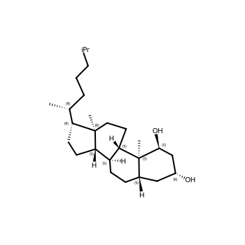 CC(C)CCC[C@@H](C)[C@H]1CC[C@H]2[C@@H]3CC[C@H]4C[C@@H](O)C[C@H](O)[C@]4(C)[C@H]3CC[C@]12C